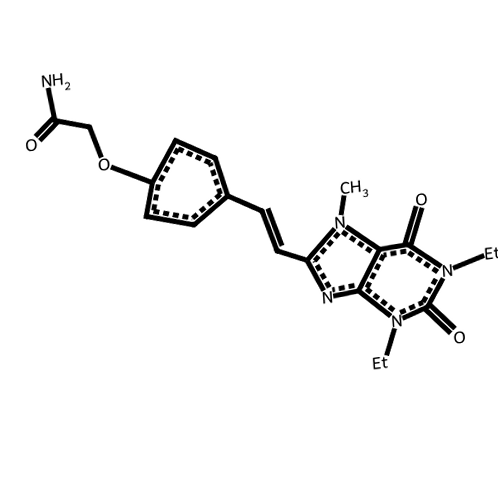 CCn1c(=O)c2c(nc(/C=C/c3ccc(OCC(N)=O)cc3)n2C)n(CC)c1=O